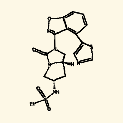 CCS(=O)(=O)N[C@H]1C[C@H]2CN(c3noc4cccc(-c5cncs5)c34)C(=O)N2C1